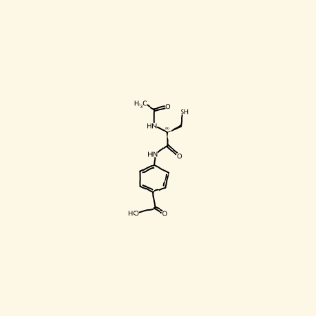 CC(=O)N[C@@H](CS)C(=O)Nc1ccc(C(=O)O)cc1